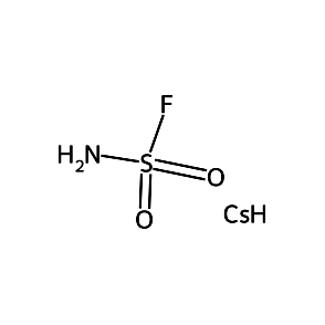 NS(=O)(=O)F.[CsH]